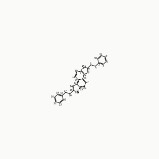 c1ccc(CCc2cc3c(ccc4c5cc(CCc6ccccc6)sc5ccc34)s2)cc1